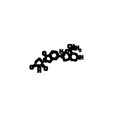 CC(C)(C)C1CNCCC12CCN(c1ccc3c(c1)CN(C1CCC(=O)NC1=O)C3=O)CC2